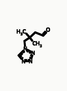 CC(C)(CC=O)Cn1cnnn1